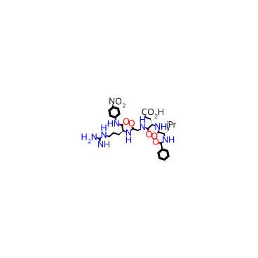 CC(C)C[C@H](NC(=O)c1ccccc1)C(=O)N[C@@H](CCC(=O)O)C(=O)NCC(=O)N[C@@H](CCCNC(=N)N)C(=O)Nc1ccc([N+](=O)[O-])cc1